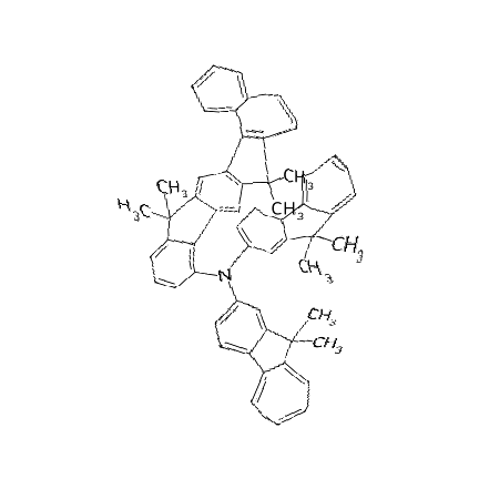 CC1(C)C2=CC(N(c3ccc4c(c3)C(C)(C)c3ccccc3-4)c3cccc4c3-c3cc5c(cc3C4(C)C)-c3c(ccc4ccccc34)C5(C)C)=CCC2c2ccccc21